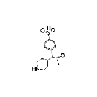 CC(=O)C(c1ccc([SH](=O)=O)cc1)C1CCNCC1